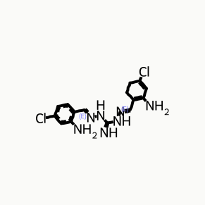 N=C(N/N=C/C1=C(N)C=C(Cl)CC1)N/N=C/c1ccc(Cl)cc1N